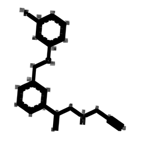 C#CCNCC(=C)c1cccc(COc2cccc(F)c2)c1